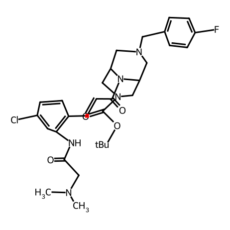 CN(C)CC(=O)Nc1cc(Cl)ccc1C=CC(=O)N1C2CN(Cc3ccc(F)cc3)CC1CN(C(=O)OC(C)(C)C)C2